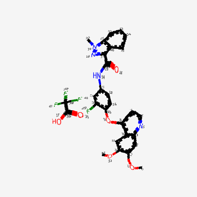 COc1cc2nccc(Oc3ccc(NC(=O)c4nn(C)c5ccccc45)cc3F)c2cc1OC.O=C(O)C(F)(F)F